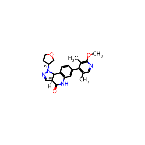 COc1ncc(C)c(-c2ccc3c(c2)NC(=O)[C@H]2C=NN([C@H]4CCOC4)C32)c1C